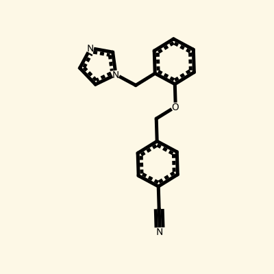 N#Cc1ccc(COc2ccccc2Cn2ccnc2)cc1